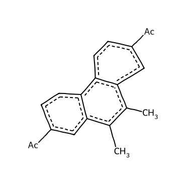 CC(=O)c1ccc2c(c1)c(C)c(C)c1cc(C(C)=O)ccc12